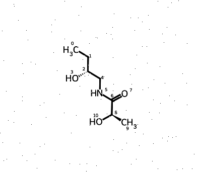 CC[C@@H](O)CNC(=O)[C@@H](C)O